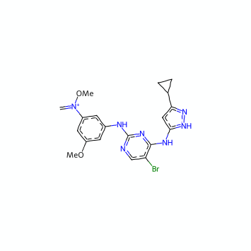 C=[N+](OC)c1cc(Nc2ncc(Br)c(Nc3cc(C4CC4)n[nH]3)n2)cc(OC)c1